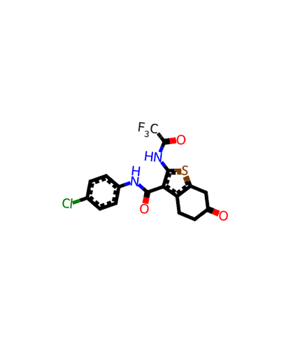 O=C1CCc2c(sc(NC(=O)C(F)(F)F)c2C(=O)Nc2ccc(Cl)cc2)C1